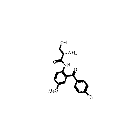 COc1ccc(NC(=O)[C@@H](N)CO)c(C(=O)c2ccc(Cl)cc2)c1